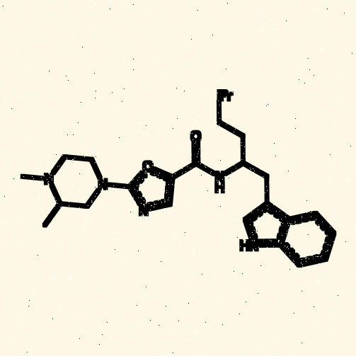 CC(C)CCC(Cc1c[nH]c2ccccc12)NC(=O)c1cnc(N2CCN(C)C(C)C2)o1